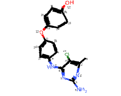 Cc1nc(N)nc(Nc2ccc(Oc3ccc(O)cc3)cc2)c1Cl